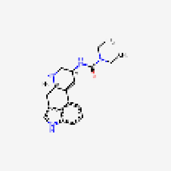 CCN(CC)C(=O)N[C@H]1C=C2c3cccc4[nH]cc(c34)C[C@H]2NC1